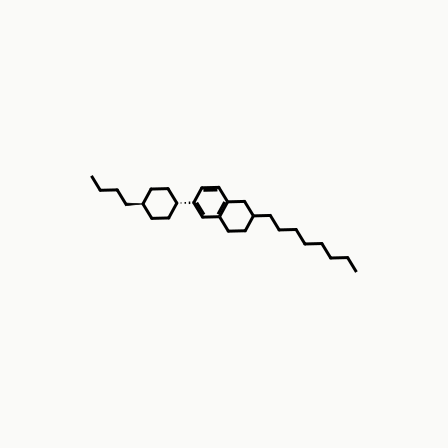 CCCCCCCCC1CCc2cc([C@H]3CC[C@H](CCCC)CC3)ccc2C1